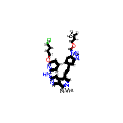 CNc1ncc(C#Cc2ccc3c(c2)nnn3COCC[Si](C)(C)C)c2cc(Nc3cccc(OCCCCCl)n3)ncc12